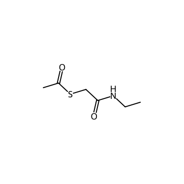 CCNC(=O)CSC(C)=O